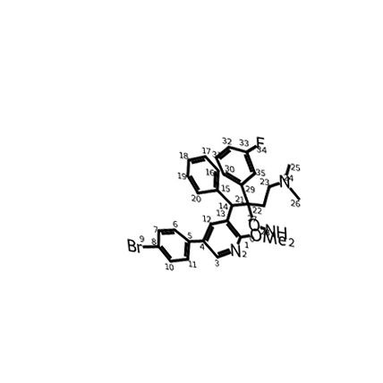 COc1ncc(-c2ccc(Br)cc2)cc1C(c1ccccc1)C(CCN(C)C)(ON)c1cccc(F)c1